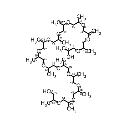 CC(O)COC(C)COC(C)COC(C)COC(C)COC(C)COC(C)COC(C)COC(C)COC(C)COC(C)COC(C)COC(C)COC(C)CO